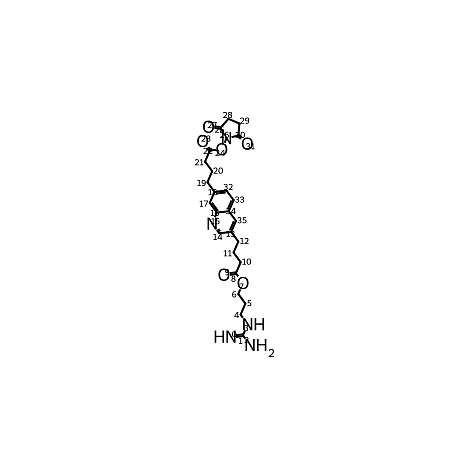 N=C(N)NCCCOC(=O)CCCc1cnc2cc(CCCC(=O)ON3C(=O)CCC3=O)ccc2c1